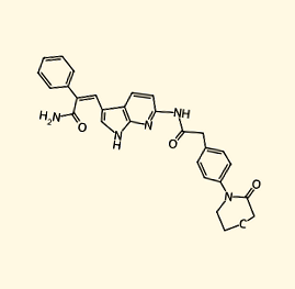 NC(=O)C(=Cc1c[nH]c2nc(NC(=O)Cc3ccc(N4CCCCC4=O)cc3)ccc12)c1ccccc1